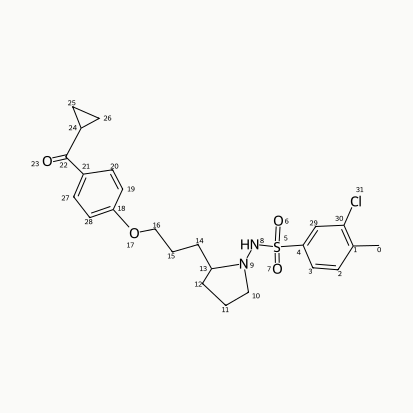 Cc1ccc(S(=O)(=O)NN2CCCC2CCCOc2ccc(C(=O)C3CC3)cc2)cc1Cl